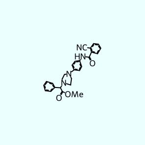 COC(=O)C(c1ccccc1)N1CCN(c2ccc(NC(=O)c3ccccc3C#N)cc2)CC1